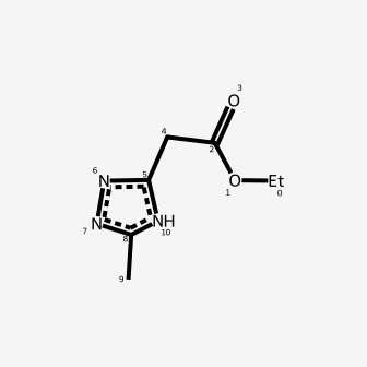 CCOC(=O)Cc1nnc(C)[nH]1